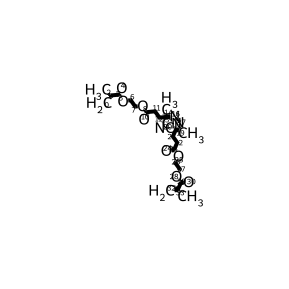 C=C(C)C(=O)OCCOC(=O)CCC(C)(C#N)/N=N\C(C)(C#N)CCC(=O)OCCOC(=O)C(=C)C